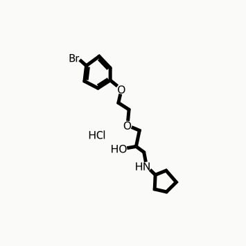 Cl.OC(CNC1CCCC1)COCCOc1ccc(Br)cc1